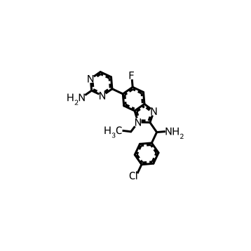 CCn1c(C(N)c2ccc(Cl)cc2)nc2cc(F)c(-c3ccnc(N)n3)cc21